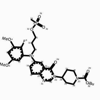 COc1cc(OC)c(F)c(N(CCCOS(C)(=O)=O)c2ccc3ncn(C4CCN(C(=O)OCC(C)C)CC4)c(=O)c3c2)c1